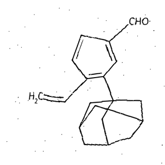 C=Cc1ccc([C]=O)cc1C12CC3CC(CC(C3)C1)C2